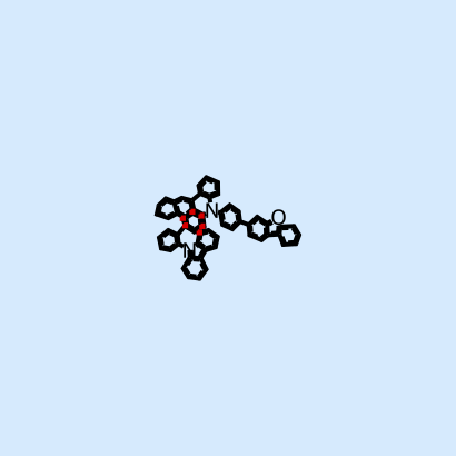 c1ccc(N(c2ccc(-c3ccc4c(c3)oc3ccccc34)cc2)c2ccc(-c3ccccc3-n3c4ccccc4c4ccccc43)cc2)c(-c2cc3ccccc3c3ccccc23)c1